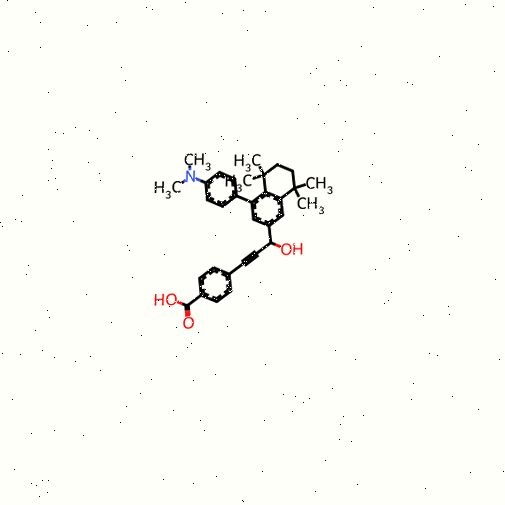 CN(C)c1ccc(-c2cc(C(O)C#Cc3ccc(C(=O)O)cc3)cc3c2C(C)(C)CCC3(C)C)cc1